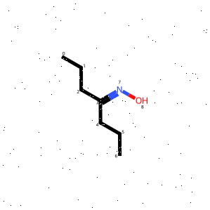 CCCC(CCC)=NO